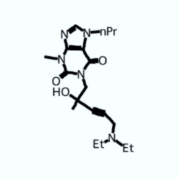 CCCn1cnc2c1c(=O)n(CC(C)(O)C#CCN(CC)CC)c(=O)n2C